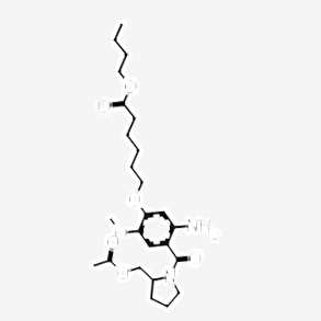 CCCCOC(=O)CCCCCOc1cc(N)c(C(=O)N2CCCC2COC(C)=O)cc1OC